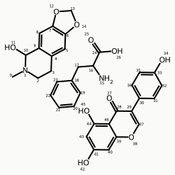 CN1CCc2cc3c(cc2C1O)OCO3.NC(Cc1ccccc1)C(=O)O.O=c1c(-c2ccc(O)cc2)coc2cc(O)cc(O)c12